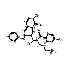 CC(C)C(C1C=C2C(=O)C(Cl)C=CC2=CN1Cc1ccccc1)N(CCCN)C(=O)c1ccc(Br)cc1